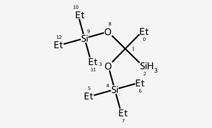 CCC([SiH3])(O[Si](CC)(CC)CC)O[Si](CC)(CC)CC